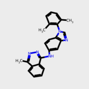 Cc1cccc(C)c1-n1cnc2cc(Nc3nnc(C)c4ccccc34)ccc21